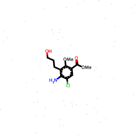 COC(=O)c1cc(Cl)c(N)c(CCCO)c1OC